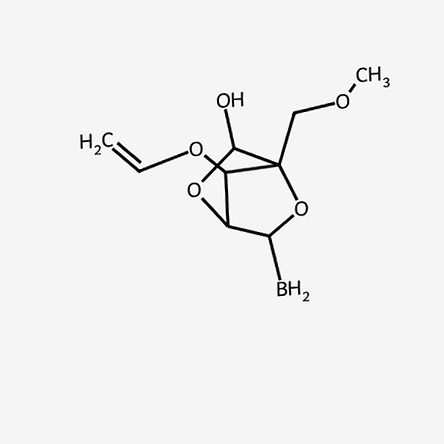 BC1OC2(COC)C(O)OC1C2OC=C